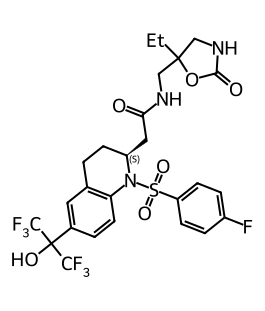 CCC1(CNC(=O)C[C@@H]2CCc3cc(C(O)(C(F)(F)F)C(F)(F)F)ccc3N2S(=O)(=O)c2ccc(F)cc2)CNC(=O)O1